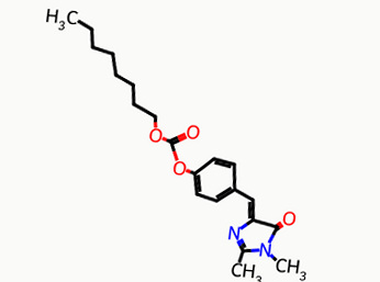 CCCCCCCCOC(=O)Oc1ccc(/C=C2\N=C(C)N(C)C2=O)cc1